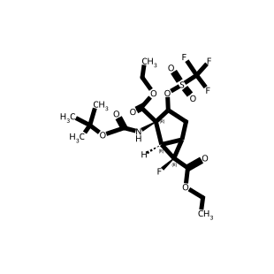 CCOC(=O)[C@@]1(F)C2CC(OS(=O)(=O)C(F)(F)F)[C@@](NC(=O)OC(C)(C)C)(C(=O)OCC)[C@@H]21